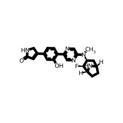 CN(c1cnc(-c2ccc(C3=CC(=O)NC3)cc2O)cn1)[C@H]1C[C@@H]2CC[C@@H](N2)[C@H]1F